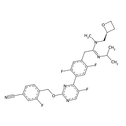 CC(C)/N=C(/Cc1cc(F)c(-c2nc(OCc3ccc(C#N)cc3F)ncc2F)cc1F)N(C)C[C@@H]1CCO1